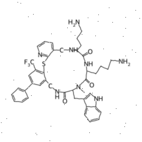 CN1C(=O)C(CCCCN)NC(=O)C(CCCN)NCc2cccnc2Sc2c(cc(-c3ccccc3)cc2C(F)(F)F)CNC(=O)C1Cc1c[nH]c2ccccc12